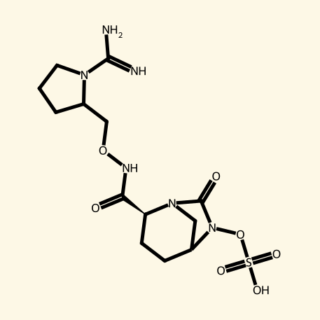 N=C(N)N1CCCC1CONC(=O)[C@@H]1CCC2CN1C(=O)N2OS(=O)(=O)O